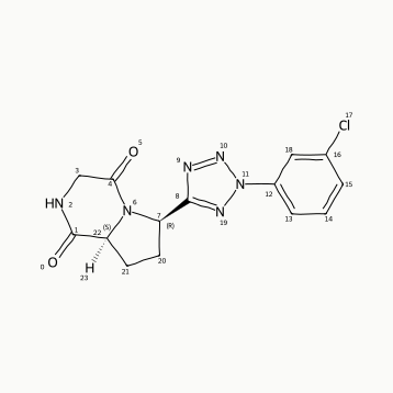 O=C1NCC(=O)N2[C@@H](c3nnn(-c4cccc(Cl)c4)n3)CC[C@@H]12